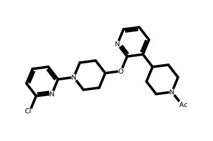 CC(=O)N1CCC(c2cccnc2OC2CCN(c3cccc(Cl)n3)CC2)CC1